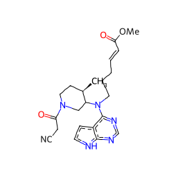 COC(=O)/C=C/CCCN(c1ncnc2[nH]ccc12)C1CN(C(=O)CC#N)CC[C@H]1C